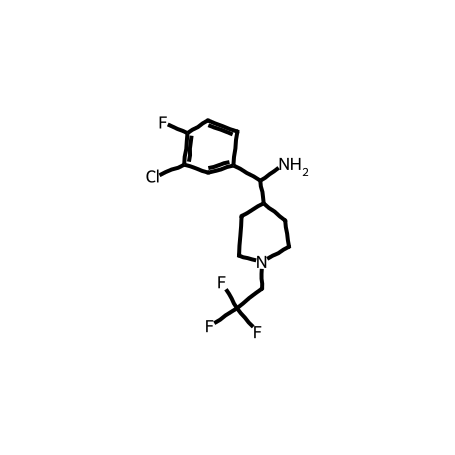 NC(c1ccc(F)c(Cl)c1)C1CCN(CC(F)(F)F)CC1